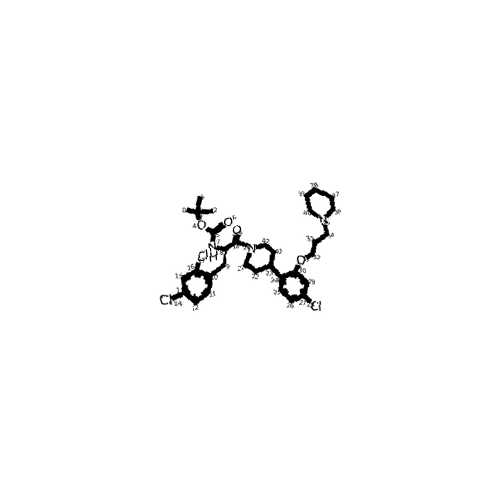 CC(C)(C)OC(=O)N[C@H](Cc1ccc(Cl)cc1Cl)C(=O)N1CCC(c2ccc(Cl)cc2OCCCN2CCCCC2)CC1